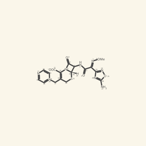 CON=C(C(=O)NC1C(=O)N2C(C(=O)[O-])=C(C[n+]3ccncc3)CS[C@@H]12)c1noc(N)n1